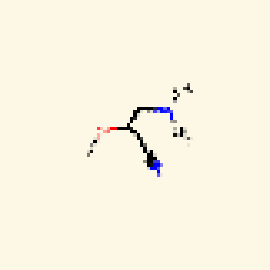 COC(C#N)CN(C)C